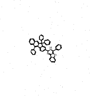 c1ccc(C2=c3oc4ccccc4c3=NC(c3ccc4c(c3)C(c3ccccc3)(c3ccccc3)c3cc5ccccc5c(-c5ccccc5)c3-4)N2)cc1